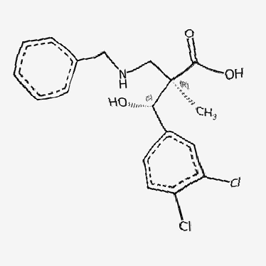 C[C@](CNCc1ccccc1)(C(=O)O)[C@@H](O)c1ccc(Cl)c(Cl)c1